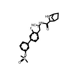 CS(C)(=O)=Nc1cccc(-c2ccc(C[C@@H](C#N)NC(=O)C3NC4CCC3C4)c(F)c2)c1